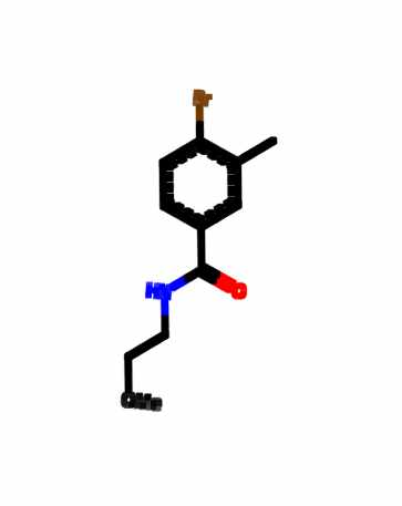 COCCNC(=O)c1ccc(Br)c(C)c1